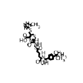 Cn1nnnc1SCC1=C(C(=O)O)N2C(=O)C(NSC(=O)CCCC(NC(=O)c3ccc(C(C)(C)C)cc3)C(=O)O)[C@@H]2SC1